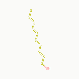 B=S=S=S=S=S=S=S=S=S=S